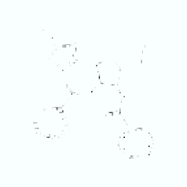 N#Cc1ncn([C@@H]2O[C@H](CO)[C@@H](OC(=O)c3ccccc3)[C@H]2OC(=O)c2ccccc2)n1